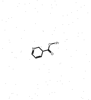 CCCOC(=O)C1C=CC=NC1